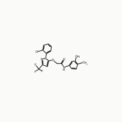 Cc1ccc(NC(=O)COc2cc(C(F)(F)F)nn2-c2ccccc2Cl)cc1O